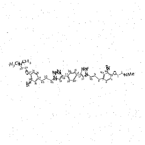 CNCCOc1ccc(CCCn2cc(-c3ccc(-c4cn(CCCc5ccc(OCCN(C)C)c(Br)c5)nn4)cc3)nn2)cc1Br